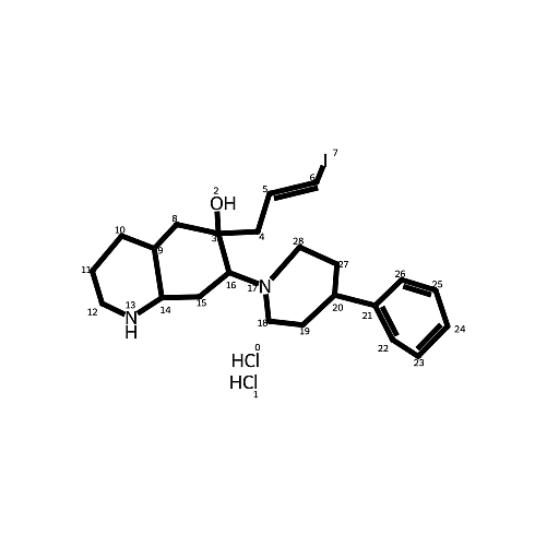 Cl.Cl.OC1(CC=CI)CC2CCCNC2CC1N1CCC(c2ccccc2)CC1